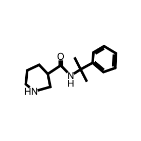 CC(C)(NC(=O)C1CCCNC1)c1ccccc1